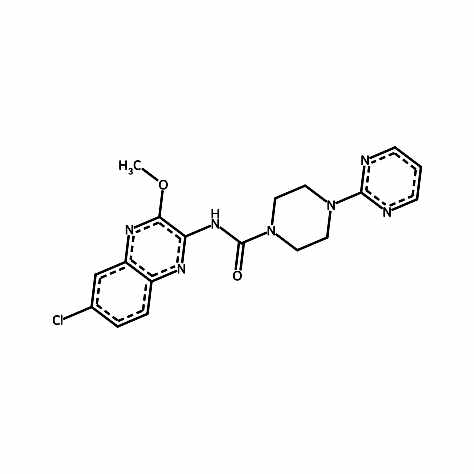 COc1nc2cc(Cl)ccc2nc1NC(=O)N1CCN(c2ncccn2)CC1